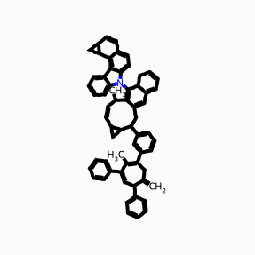 C=C1CC(c2cccc(C3CC4=CC5=CC=CCC5C(n5c6ccccc6c6c7c(ccc65)C=CC5CC75)=C4C(C)/C=C\C4CC43)c2)=C(C)C(c2ccccc2)=CC1c1ccccc1